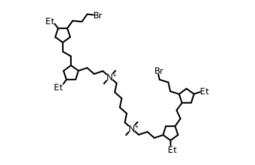 CCC1CC(CCCBr)C(CCC2CC(CC)C(CCC[N+](C)(C)CCCCCC[N+](C)(C)CCCC3CC(CC)CC3CCC3CC(CC)C(CCCBr)C3)C2)C1